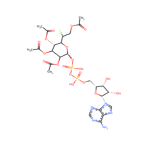 CC(=O)OC[C@H](F)C1O[C@@H](OP(=O)(O)OP(=O)(O)OC[C@H]2O[C@@H](n3cnc4c(N)ncnc43)[C@@H](O)[C@H]2O)C(OC(C)=O)C(OC(C)=O)[C@@H]1OC(C)=O